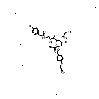 C#CCOc1ccc(CO[C@]2(C(=O)O)C[C@H](O)[C@@H](NC(=O)CO)[C@H]([C@H](O)[C@H](O)CNC(=O)Cc3ccc(O)cc3)O2)cc1